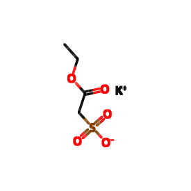 CCOC(=O)CS(=O)(=O)[O-].[K+]